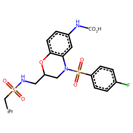 CC(C)CS(=O)(=O)NCC1CN(S(=O)(=O)c2ccc(F)cc2)c2cc(NC(=O)O)ccc2O1